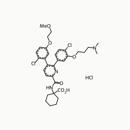 COCCOc1ccc(Cl)c(-c2ccc(C(=O)NC3(C(=O)O)CCCCC3)nc2-c2ccc(Cl)c(OCCCN(C)C)c2)c1.Cl